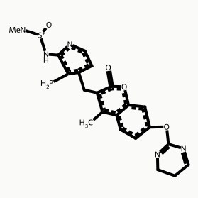 CN[S+]([O-])Nc1nccc(Cc2c(C)c3ccc(OC4=NCCC=N4)cc3oc2=O)c1P